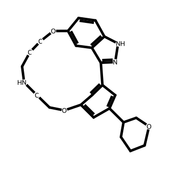 c1cc2[nH]nc3c2cc1OCCCNCCOc1cc-3cc(C2CCCOC2)c1